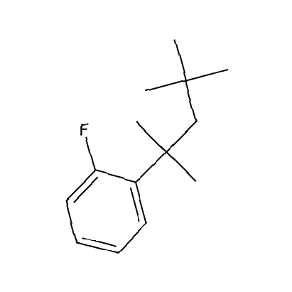 CC(C)(C)CC(C)(C)c1ccccc1F